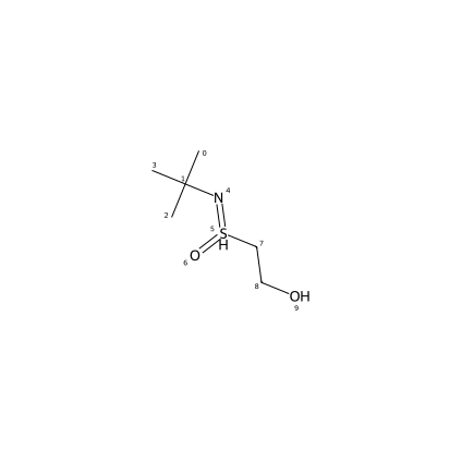 CC(C)(C)N=[SH](=O)CCO